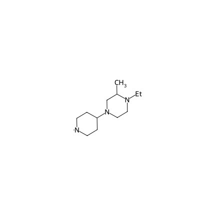 CCN1CCN(C2CC[N]CC2)CC1C